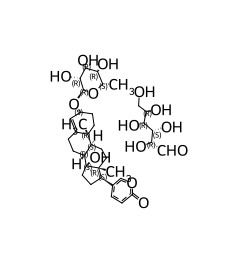 C[C@@H]1O[C@@H](O[C@@H]2C=C3CC[C@@H]4[C@H](CC[C@]5(C)[C@@H](c6ccc(=O)oc6)CC[C@]45O)[C@@]3(C)CC2)[C@H](O)[C@H](O)[C@H]1O.O=C[C@H](O)[C@@H](O)[C@H](O)[C@H](O)CO